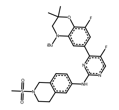 CCC(C)N1CC(C)(C)Oc2c(F)cc(-c3nc(Nc4ccc5c(c4)CCN(S(C)(=O)=O)C5)ncc3F)cc21